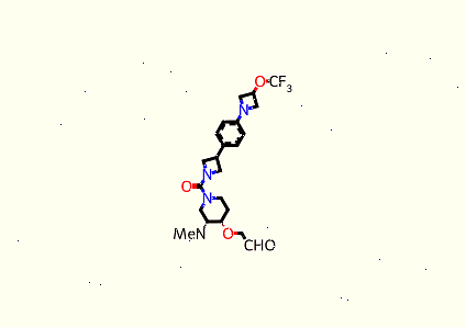 CN[C@@H]1CN(C(=O)N2CC(c3ccc(N4CC(OC(F)(F)F)C4)cc3)C2)CC[C@@H]1OCC=O